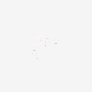 CC(C)(C)OC(=O)Nc1ccc(-c2ccc(F)cc2F)cc1NC(=O)CC(=O)c1cccc(C#N)c1